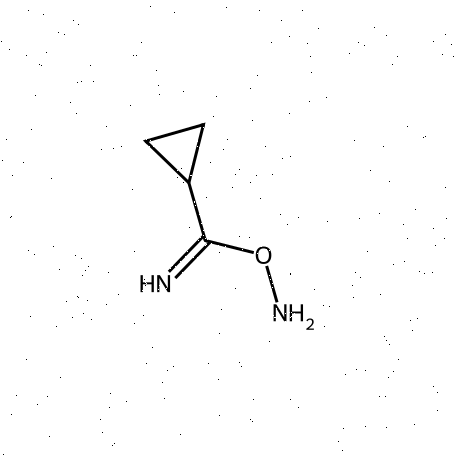 N=C(ON)C1CC1